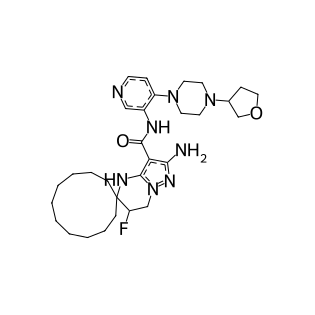 Nc1nn2c(c1C(=O)Nc1cnccc1N1CCN(C3CCOC3)CC1)NC1(CCCCCCCCCC1)C(F)C2